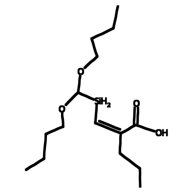 CCCCOC(OCCCC)[SiH2]C=C(CCC)C(=O)O